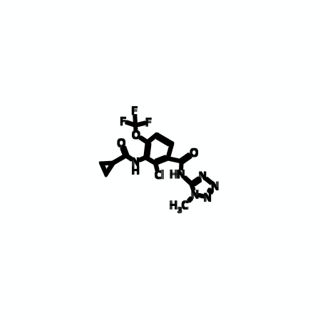 Cn1nnnc1NC(=O)c1ccc(OC(F)(F)F)c(NC(=O)C2CC2)c1Cl